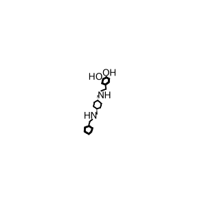 Oc1ccc(CCNC[C@H]2CC[C@H](CNCCc3ccccc3)CC2)cc1O